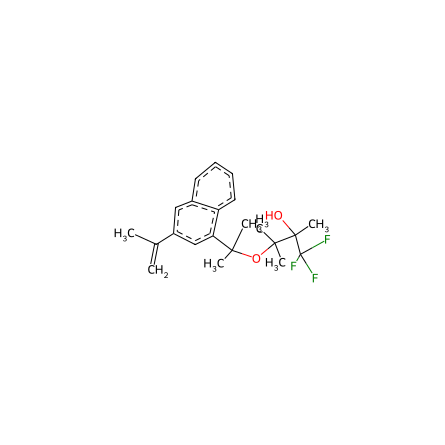 C=C(C)c1cc(C(C)(C)OC(C)(C)C(C)(O)C(F)(F)F)c2ccccc2c1